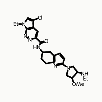 CCNC1CN(c2ccc3c(n2)CCC(NC(=O)c2cc4c(Cl)cn(CC)c4nn2)C3)CC1OC